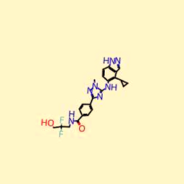 Cn1nc(-c2ccc(C(=O)NCC(F)(F)CO)cc2)nc1Nc1ccc2[nH]ncc2c1C1CC1